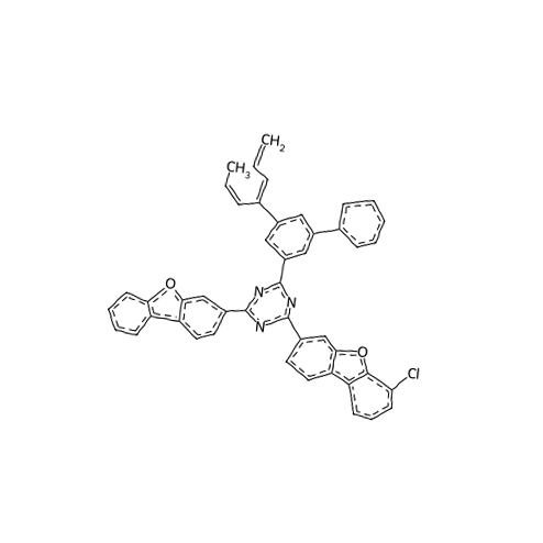 C=C/C=C(\C=C/C)c1cc(-c2ccccc2)cc(-c2nc(-c3ccc4c(c3)oc3ccccc34)nc(-c3ccc4c(c3)oc3c(Cl)cccc34)n2)c1